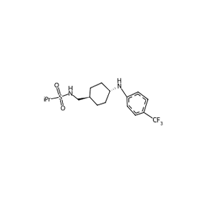 CC(C)S(=O)(=O)NC[C@H]1CC[C@H](Nc2ccc(C(F)(F)F)cc2)CC1